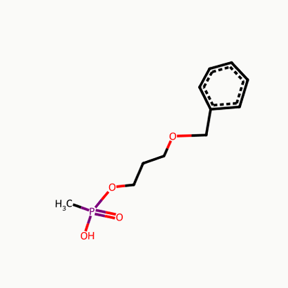 CP(=O)(O)OCCCOCc1ccccc1